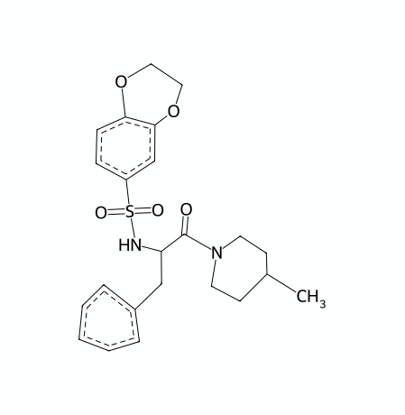 CC1CCN(C(=O)C(Cc2ccccc2)NS(=O)(=O)c2ccc3c(c2)OCCO3)CC1